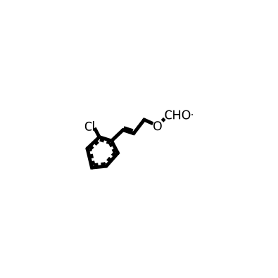 O=[C]OC/C=C/c1ccccc1Cl